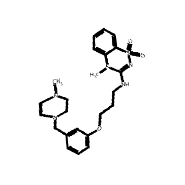 CN1CCN(Cc2cccc(OCCCNC3=NS(=O)(=O)c4ccccc4N3C)c2)CC1